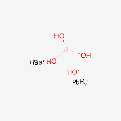 OB(O)O.[BaH+].[OH-].[PbH2]